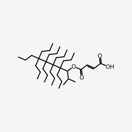 CCCC(CCC)(CCC)C(CCC)(CCC)C(CCC)(CCC)C(CCC)(CCC)C(OC(=O)C=CC(=O)O)C(C)C